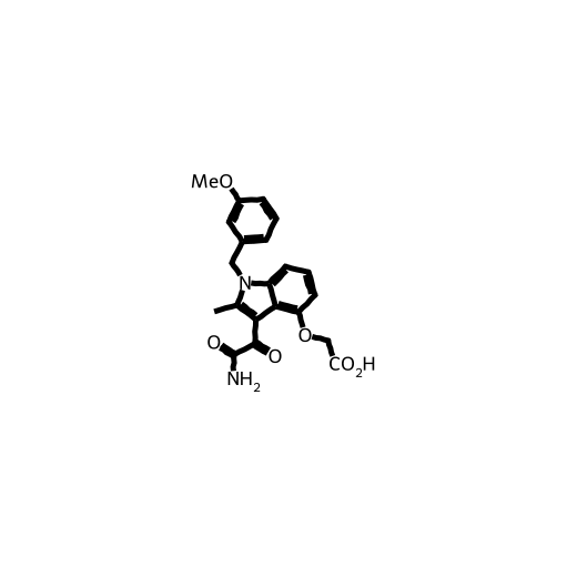 COc1cccc(Cn2c(C)c(C(=O)C(N)=O)c3c(OCC(=O)O)cccc32)c1